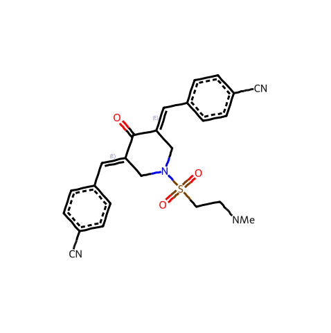 CNCCS(=O)(=O)N1C/C(=C\c2ccc(C#N)cc2)C(=O)/C(=C/c2ccc(C#N)cc2)C1